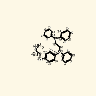 NCCN.[Ru].c1ccc(P(CCP(c2ccccc2)c2ccccc2)c2ccccc2)cc1